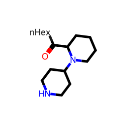 CCCCCCC(=O)C1CCCCN1C1CCNCC1